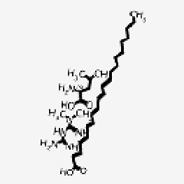 CC(C)C[C@H](N)C(=O)O.CCCCCCCCCC=CC=CC=CC=CC=CC=CC(=O)O.CN(C)C(=N)NC(=N)N